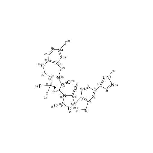 Cn1cc(-c2ccc3c(c2)CC[C@@]32OC(=O)N(CC(=O)N3Cc4cc(F)ccc4OC[C@H]3C(F)(F)F)C2=O)cn1